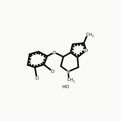 Cc1cc2c(o1)CN(C)CC2Oc1cccc(Cl)c1Cl.Cl